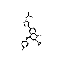 CC(=O)N1c2ccc(-c3cnn(CC(C)O)c3)cc2[C@H](Nc2cnc(C)cn2)[C@@H](C)[C@@H]1C1CC1